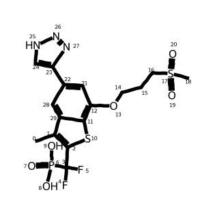 Cc1c(C(F)(F)P(=O)(O)O)sc2c(OCCCS(C)(=O)=O)cc(-c3c[nH]nn3)cc12